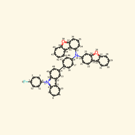 Fc1ccc(-n2c3ccccc3c3cc(-c4ccc(N(c5ccc6c(c5)oc5ccccc56)c5cccc6oc7ccccc7c56)cc4)ccc32)cc1